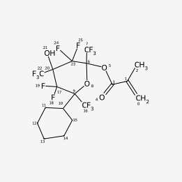 C=C(C)C(=O)OC1(C(F)(F)F)OC(C2CCCCC2)(C(F)(F)F)C(F)(F)C(O)(C(F)(F)F)C1(F)F